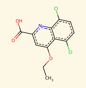 CCOc1cc(C(=O)O)nc2c(Cl)ccc(Cl)c12